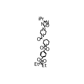 CCN(CC)S(=O)(=O)c1ccc(S(=O)(=O)N2CCC[C@@H](C(=O)N3CCN(c4nc(C(C)C)no4)CC3)C2)cc1